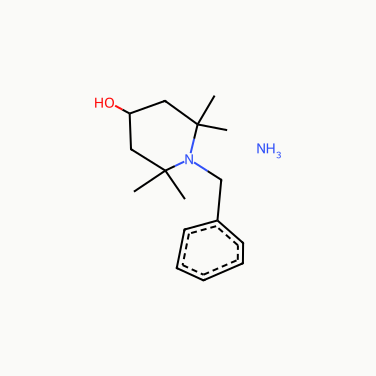 CC1(C)CC(O)CC(C)(C)N1Cc1ccccc1.N